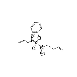 C=CCCN(CC)P(=O)(Oc1ccccc1)N(CC)CC=C